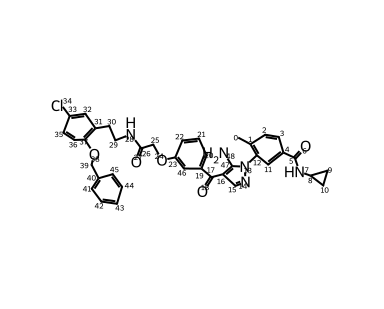 Cc1ccc(C(=O)NC2CC2)cc1-n1ncc(C(=O)c2cccc(OCC(=O)NCCc3cc(Cl)ccc3OCc3ccccc3)c2)c1N